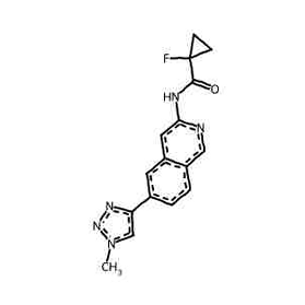 Cn1cc(-c2ccc3cnc(NC(=O)C4(F)CC4)cc3c2)nn1